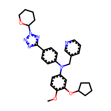 COc1ccc(N(Cc2cccnc2)c2ccc(-c3nnn(C4CCCCO4)n3)cc2)cc1OC1CCCC1